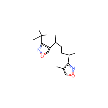 Cc1conc1C(C)CCC(C)c1conc1C(C)(C)C